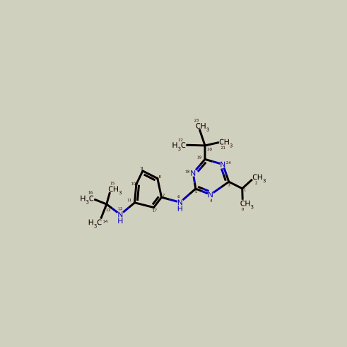 CC(C)c1nc(Nc2cccc(NC(C)(C)C)c2)nc(C(C)(C)C)n1